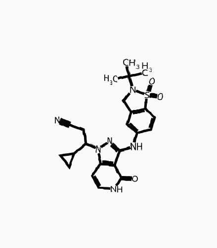 CC(C)(C)N1Cc2cc(Nc3nn(C(CC#N)C4CC4)c4cc[nH]c(=O)c34)ccc2S1(=O)=O